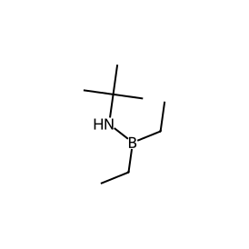 CCB(CC)NC(C)(C)C